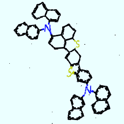 C1=CCC2C(=C1)C=CC=C2N(C1=CCC2C3=Cc4sc5cc(N(c6ccc7ccccc7c6)c6cccc7ccccc67)ccc5c4CC3SC3CCC=C1C32)c1ccc2ccccc2c1